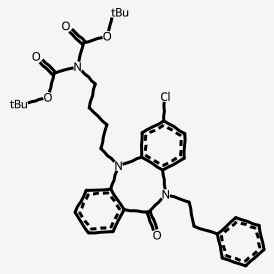 CC(C)(C)OC(=O)N(CCCCN1c2ccccc2C(=O)N(CCc2ccccc2)c2ccc(Cl)cc21)C(=O)OC(C)(C)C